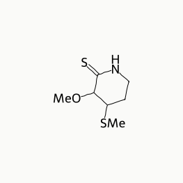 COC1C(=S)NCCC1SC